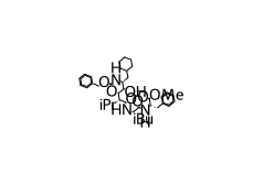 CC[C@H](C)[C@H](NC(=O)[C@@H](C[C@H](O)[C@H](CC1CCCCC1)NC(=O)OCc1ccccc1)C(C)C)C(=O)N[C@@H](Cc1ccccc1)C(=O)OC